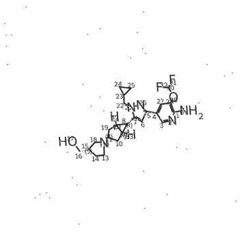 Nc1ncc(-c2cc([C@H]3[C@@H]4C[C@H](N5CC[C@H](CO)C5)C[C@@H]43)n(CC3CC3)n2)cc1OC(F)F